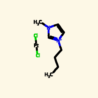 CCCC[n+]1ccn(C)c1.[Cl][Pt][Cl]